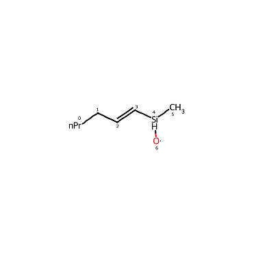 CCCCC=C[SiH](C)[O]